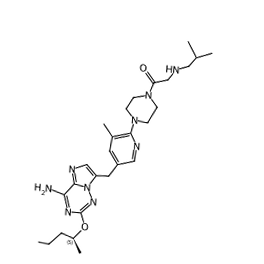 CCC[C@H](C)Oc1nc(N)c2ncc(Cc3cnc(N4CCN(C(=O)CNCC(C)C)CC4)c(C)c3)n2n1